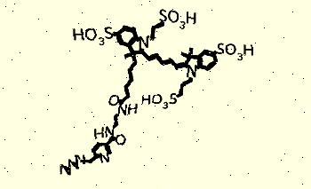 CC1(C)C(=CC=CC=CC2=[N+](CCCS(=O)(=O)O)c3ccc(S(=O)(=O)O)cc3C2(C)CCCCCC(=O)NCCNC(=O)c2ccc(CN=[N+]=[N-])nc2)N(CCCS(=O)(=O)O)c2ccc(S(=O)(=O)O)cc21